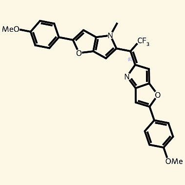 COc1ccc(-c2cc3c(o2)=C/C(=C(/c2cc4oc(-c5ccc(OC)cc5)cc4n2C)C(F)(F)F)N=3)cc1